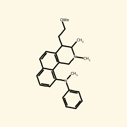 COCCC1c2ccc3cccc(N(C)c4ccccc4)c3c2CN(C)C1C